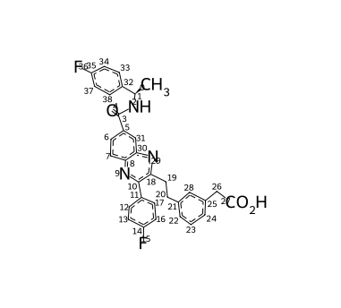 C[C@@H](NC(=O)c1ccc2nc(-c3ccc(F)cc3)c(CCc3cccc(CC(=O)O)c3)nc2c1)c1ccc(F)cc1